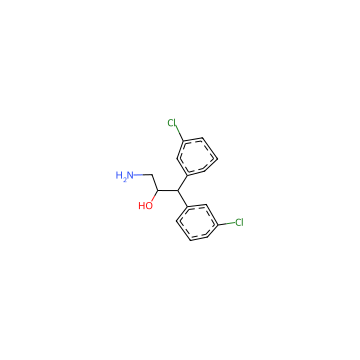 NCC(O)C(c1cccc(Cl)c1)c1cccc(Cl)c1